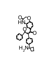 NC1(c2ccc(-c3c(-c4ccccc4)oc4c5c(ccc4c3=O)OCC(=O)N5)cc2)CCC1